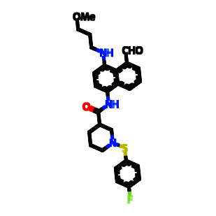 COCCCNc1ccc(NC(=O)C2CCCN(Sc3ccc(F)cc3)C2)c2cccc(C=O)c12